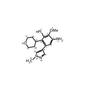 CCCc1c(OC)c(N)cc(-c2cnn(C)c2)c1C1CCOCC1